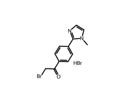 Br.Cn1ccnc1-c1ccc(C(=O)CBr)cc1